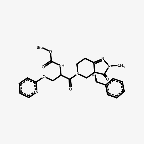 CN1N=C2CCN(C(=O)C(COc3ccccn3)NC(=O)OC(C)(C)C)C[C@@]2(Cc2ccccc2)C1=O